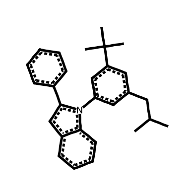 CC(C)Cc1cc(-n2c(-c3ccccc3)cc3ccccc32)cc(C(C)(C)C)c1